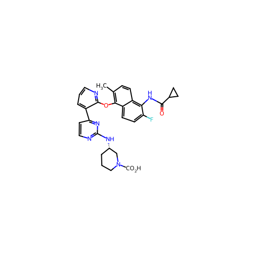 Cc1ccc2c(NC(=O)C3CC3)c(F)ccc2c1Oc1ncccc1-c1ccnc(N[C@H]2CCCN(C(=O)O)C2)n1